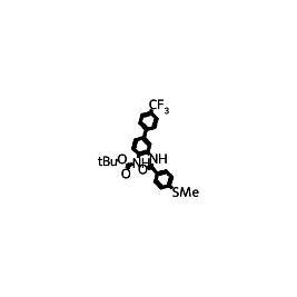 CSc1ccc(C(=O)Nc2cc(-c3ccc(C(F)(F)F)cc3)ccc2NC(=O)OC(C)(C)C)cc1